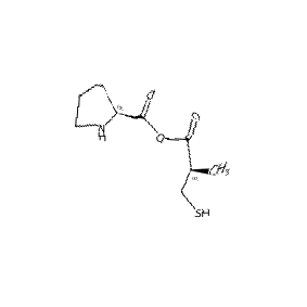 C[C@@H](CS)C(=O)OC(=O)[C@@H]1CCCN1